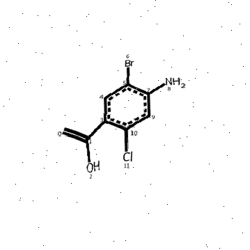 C=C(O)c1cc(Br)c(N)cc1Cl